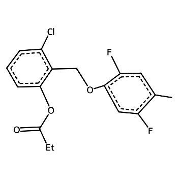 CCC(=O)Oc1cccc(Cl)c1COc1cc(F)c(C)cc1F